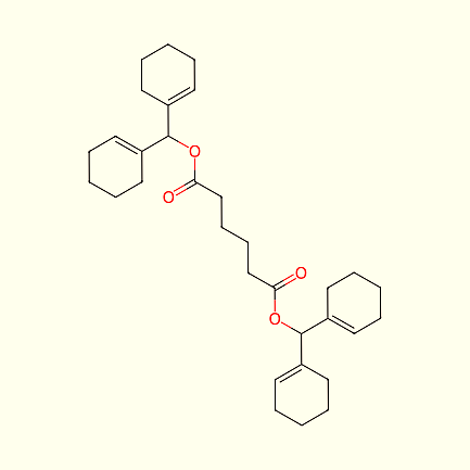 O=C(CCCCC(=O)OC(C1=CCCCC1)C1=CCCCC1)OC(C1=CCCCC1)C1=CCCCC1